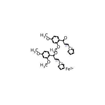 COc1ccc(C(=O)/C=C/[c-]2cccc2)c(OC)c1.COc1ccc(C(=O)/C=C/[c-]2cccc2)c(OC)c1.[Fe+2]